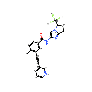 Cc1ccc(C(=O)Nc2cn3c(n2)CCC3C(F)(F)F)cc1C#Cc1cccnc1